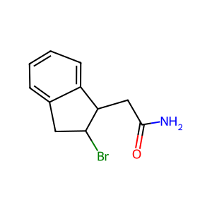 NC(=O)CC1c2ccccc2CC1Br